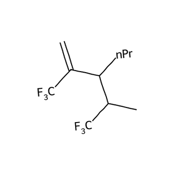 C=C(C(CCC)C(C)C(F)(F)F)C(F)(F)F